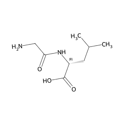 CC(C)C[C@@H](NC(=O)CN)C(=O)O